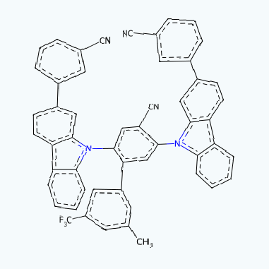 Cc1cc(-c2cc(-n3c4ccccc4c4ccc(-c5cccc(C#N)c5)cc43)c(C#N)cc2-n2c3ccccc3c3ccc(-c4cccc(C#N)c4)cc32)cc(C(F)(F)F)c1